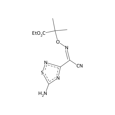 CCOC(=O)C(C)(C)O/N=C(/C#N)c1nsc(N)n1